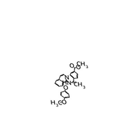 COC(=O)c1ccc([C@H](C)Nc2nccc3cccc(Oc4ccc(OC)cc4)c23)cc1